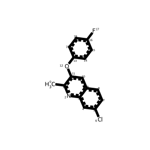 Cc1nc2cc(Cl)ccc2cc1Oc1ccc(F)cc1